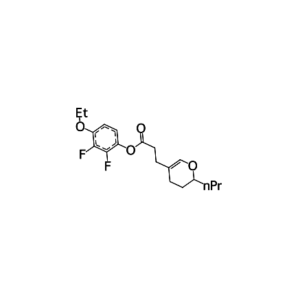 CCCC1CCC(CCC(=O)Oc2ccc(OCC)c(F)c2F)=CO1